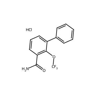 Cl.NC(=O)c1cccc(-c2ccccc2)c1OC(F)(F)F